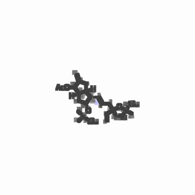 C=CC(C/C=C/[C@H]1[C@H]2CC(=C)C(OC(C)=O)[C@H]2C[C@H]1O[Si](C)(C)C(C)(C)C)(CCCC)O[Si](C)(C)C(C)(C)C